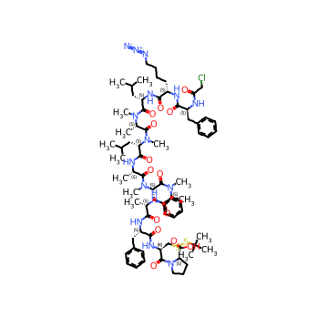 CC(C)C[C@H](NC(=O)[C@H](CCCCN=[N+]=[N-])NC(=O)[C@H](Cc1ccccc1)NC(=O)CCl)C(=O)N(C)[C@@H](C)C(=O)N(C)[C@@H](CC(C)C)C(=O)N[C@@H](C)C(=O)N(C)[C@@H](Cc1ccccc1)C(=O)N(C)[C@@H](C)C(=O)N[C@@H](C)C(=O)N[C@@H](Cc1ccccc1)C(=O)N[C@@H](CSSC(C)(C)C)C(=O)N1CCC[C@H]1C(=O)O